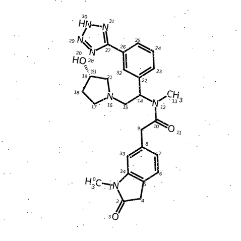 CN1C(=O)Cc2ccc(CC(=O)N(C)C(CN3CC[C@H](O)C3)c3cccc(-c4nn[nH]n4)c3)cc21